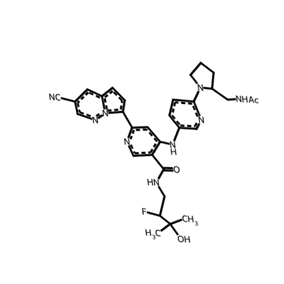 CC(=O)NCC1CCCN1c1ccc(Nc2cc(-c3ccc4cc(C#N)cnn34)ncc2C(=O)NCC(F)C(C)(C)O)cn1